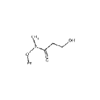 CCOP(C)C(=O)CCO